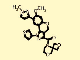 COc1cc2c(cc1-c1ccn(C)n1)-c1c(c(C(=O)N3CCOCC34COC4)nn1-c1ccsc1)CO2